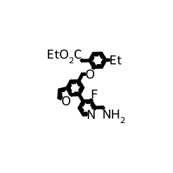 CCOC(=O)Cc1ccc(CC)cc1OCc1cc(-c2ccnc(CN)c2F)c2occc2c1